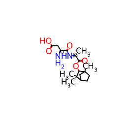 C[C@H](NC(=O)[C@@H](N)CC(=O)O)C(=O)OC1C2(C)CCC(C2)C1(C)C